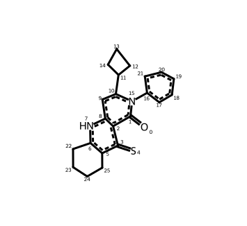 O=c1c2c(=S)c3c([nH]c2cc(C2CCC2)n1-c1ccccc1)CCCC3